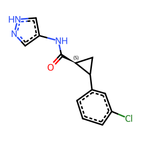 O=C(Nc1cn[nH]c1)[C@H]1CC1c1cccc(Cl)c1